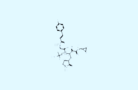 CC(C)(C)C[C@H](NC(=O)/C=C/c1ccc(F)cc1)C(=O)NC(CC1CCNC1=O)C(=O)C(=O)NC1CC1